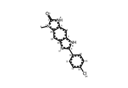 Cn1c(=O)[nH]c2cc3[nH]c(-c4ccc(Cl)cc4)nc3cc21